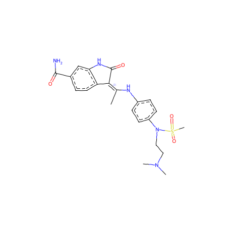 C/C(Nc1ccc(N(CCN(C)C)S(C)(=O)=O)cc1)=C1/C(=O)Nc2cc(C(N)=O)ccc21